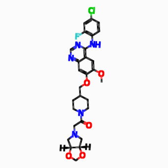 COc1cc2c(Nc3ccc(Cl)cc3F)ncnc2cc1OCC1CCN(C(=O)CN2C[C@@H]3OCO[C@@H]3C2)CC1